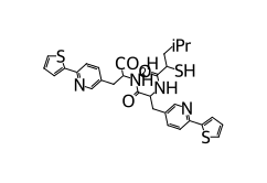 CC(C)CC(S)C(=O)NC(Cc1ccc(-c2cccs2)nc1)C(=O)NC(Cc1ccc(-c2cccs2)nc1)C(=O)O